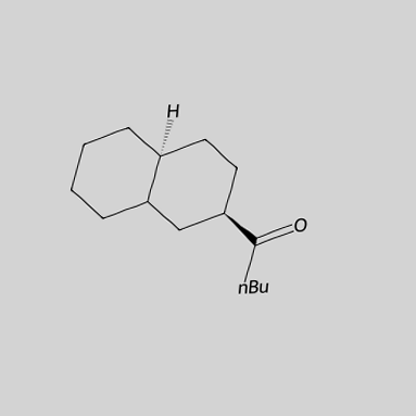 CCCCC(=O)[C@@H]1CC[C@@H]2CCCCC2C1